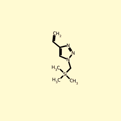 C=Cc1cn(C[Si](C)(C)C)nn1